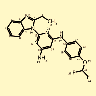 CCc1nc2ccccc2n1-c1nc(N)cc(Nc2ccc(OC(F)F)cc2)n1